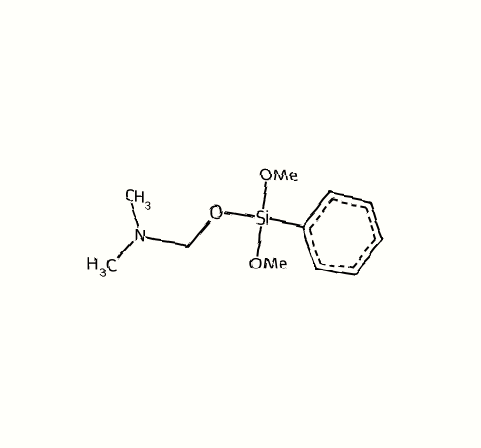 CO[Si](OC)(OCN(C)C)c1ccccc1